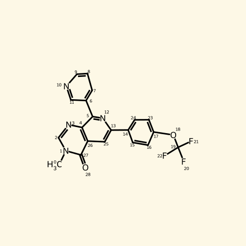 Cn1cnc2c(-c3cccnc3)nc(-c3ccc(OC(F)(F)F)cc3)cc2c1=O